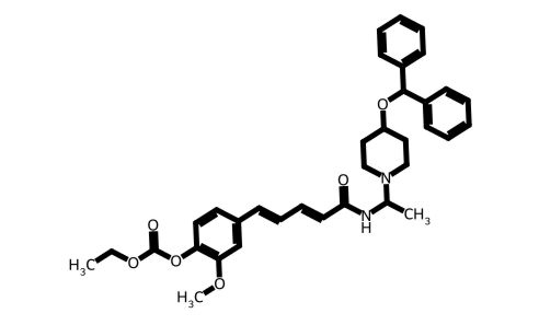 CCOC(=O)Oc1ccc(C=CC=CC(=O)NC(C)N2CCC(OC(c3ccccc3)c3ccccc3)CC2)cc1OC